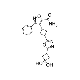 NC(=O)c1onc(-c2ccccc2)c1C1CC(c2nnc(C3CS(O)(O)C3)o2)C1